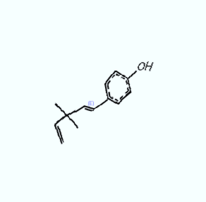 C=CC(C)(C)/C=C/c1ccc(O)cc1